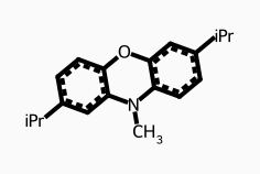 CC(C)c1ccc2c(c1)Oc1ccc(C(C)C)cc1N2C